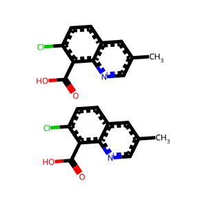 Cc1cnc2c(C(=O)O)c(Cl)ccc2c1.Cc1cnc2c(C(=O)O)c(Cl)ccc2c1